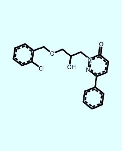 O=c1ccc(-c2ccccc2)nn1CC(O)COCc1ccccc1Cl